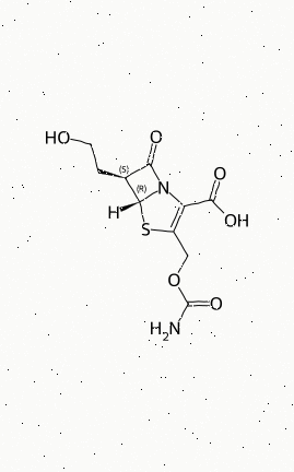 NC(=O)OCC1=C(C(=O)O)N2C(=O)[C@H](CCO)[C@H]2S1